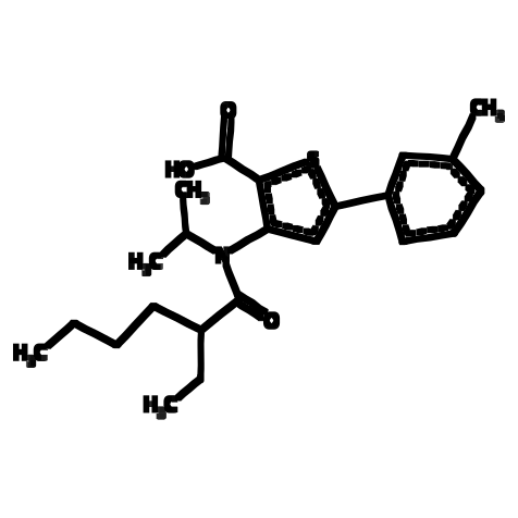 CCCCC(CC)C(=O)N(c1cc(-c2cccc(C)c2)sc1C(=O)O)C(C)C